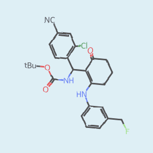 CC(C)(C)OC(=O)NC(C1=C(Nc2cccc(CF)c2)CCCC1=O)c1ccc(C#N)cc1Cl